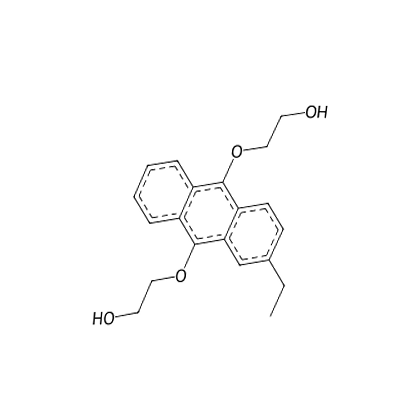 CCc1ccc2c(OCCO)c3ccccc3c(OCCO)c2c1